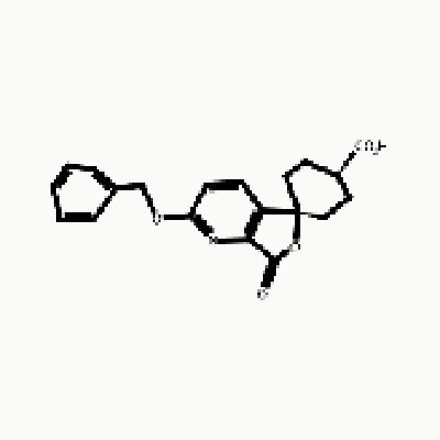 O=C1O[C@]2(CC[C@H](C(=O)O)CC2)c2ccc(OCc3ccccc3)nc21